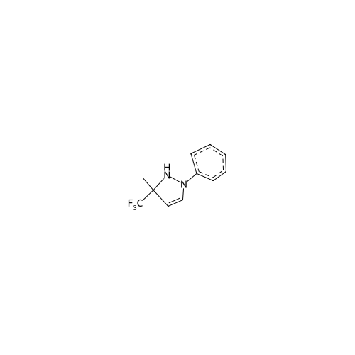 CC1(C(F)(F)F)C=CN(c2ccccc2)N1